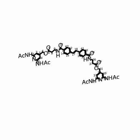 CC(=O)Nc1cc(COC(=O)CCNC(=O)c2ccc(/C=C/c3ccc(C(=O)NCCC(=O)OCc4cc(NC(C)=O)nc(NC(C)=O)c4)cc3)cc2)cc(NC(C)=O)n1